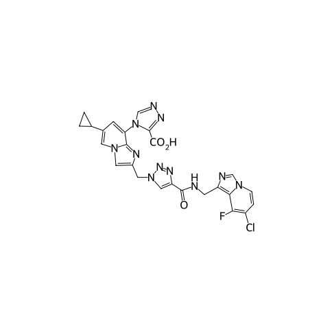 O=C(NCc1ncn2ccc(Cl)c(F)c12)c1cn(Cc2cn3cc(C4CC4)cc(-n4cnnc4C(=O)O)c3n2)nn1